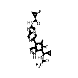 Cc1c(F)c(C(NC(=O)C(F)(F)F)C2CC2)c2[nH]ncc2c1-c1cn2cc(NC(=O)[C@@H]3C[C@@H]3F)nc2cn1